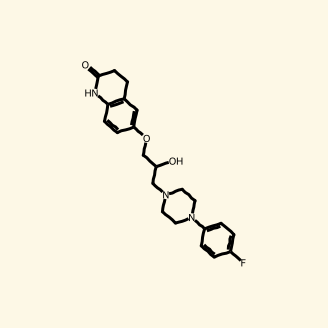 O=C1CCc2cc(OCC(O)CN3CCN(c4ccc(F)cc4)CC3)ccc2N1